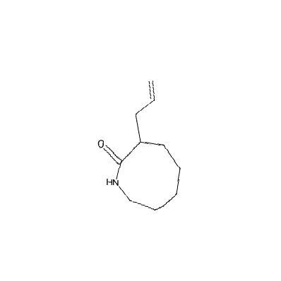 C=CCC1CCCCCNC1=O